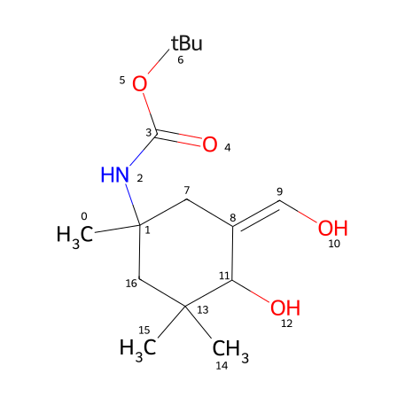 CC1(NC(=O)OC(C)(C)C)C/C(=C/O)C(O)C(C)(C)C1